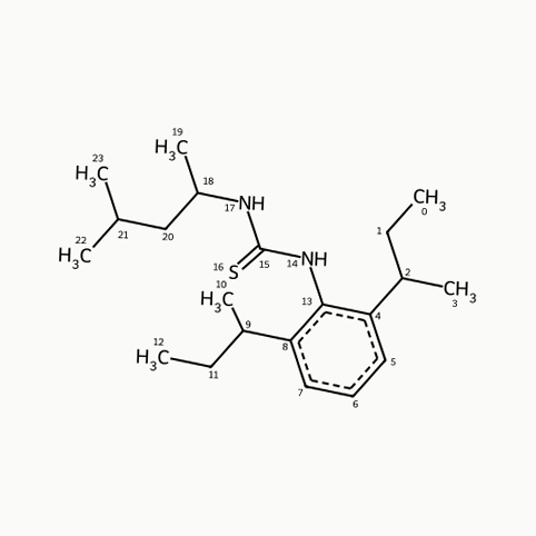 CCC(C)c1cccc(C(C)CC)c1NC(=S)NC(C)CC(C)C